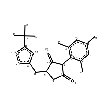 Cc1cc(C)c(C2C(=O)CC(Cc3nnc(C(C)(C)C)s3)C2=O)c(C)c1